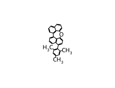 Cc1cc(C)c(-c2ccc3oc4cccc5cccc(c6cccc2c36)c54)c(C)c1